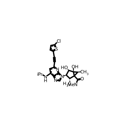 CNC(=O)C12[C@H](C)[C@@H](n3cnc4c(NC(C)C)cc(C#Cc5ccc(Cl)s5)nc43)[C@H](O)[C@]1(O)[C@H]2C